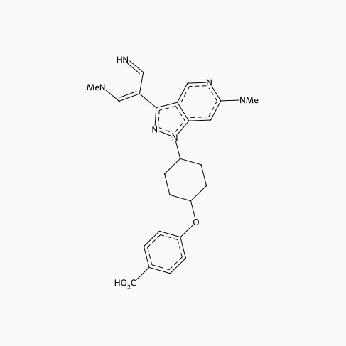 CN/C=C(\C=N)c1nn(C2CCC(Oc3ccc(C(=O)O)cc3)CC2)c2cc(NC)ncc12